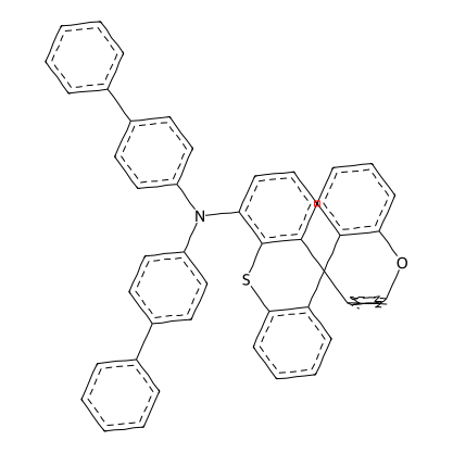 c1ccc(-c2ccc(N(c3ccc(-c4ccccc4)cc3)c3cccc4c3Sc3ccccc3C43c4ccccc4Oc4ccccc43)cc2)cc1